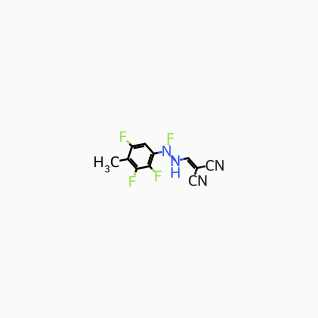 Cc1c(F)cc(N(F)NC=C(C#N)C#N)c(F)c1F